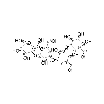 OCC1CC(O[C@@H]2CC(CO)[C@H](O)C(O[C@@H]3CC(CO)C(O)[C@H](O)C3O)[C@@H]2O)[C@H](O)[C@H](O[C@@H]2C(CO)O[C@@H](O)[C@@H](O)C2O)O1